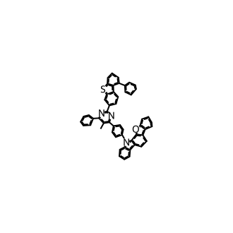 Cc1c(-c2ccccc2)nc(-c2ccc3c(c2)sc2cccc(-c4ccccc4)c23)nc1-c1ccc(-n2c3ccccc3c3ccc4c5ccccc5oc4c32)cc1